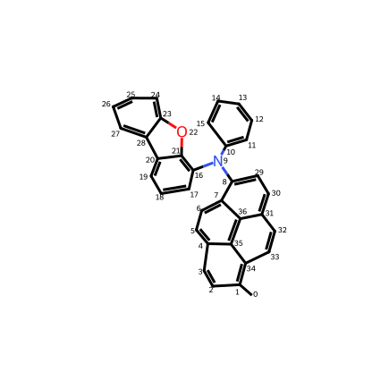 Cc1ccc2ccc3c(N(c4ccccc4)c4cccc5c4oc4ccccc45)ccc4ccc1c2c43